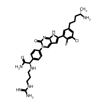 C[C@H](N)CCCc1cc(Cl)c(F)c(-c2cc3cn(-c4ccc([C@@H](NCCCNC(=N)N)C(N)=O)cc4)c(=O)nc3[nH]2)c1